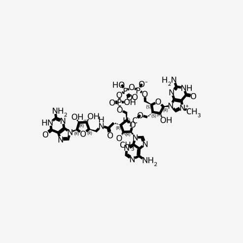 COC[C@H]1[C@@H](O)[C@H](n2c[n+](C)c3c(=O)[nH]c(N)nc32)O[C@@H]1COP(=O)([O-])OP(=O)(O)OP(=O)(O)OC[C@H]1O[C@@H](n2cnc3c(N)ncnc32)[C@H](OC)[C@@H]1CC(=O)NC[C@H]1O[C@@H](n2cnc3c(=O)[nH]c(N)nc32)[C@H](O)[C@@H]1O